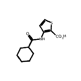 O=C(O)c1sccc1NC(=O)C1CCCCC1